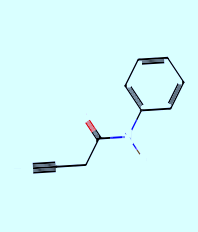 C#CCC(=O)N(Br)c1ccccc1